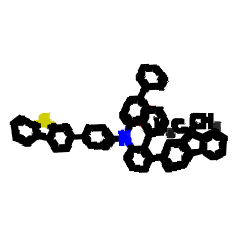 CC1(C)c2ccccc2-c2ccc(-c3cccc(N(c4ccc(-c5ccccc5)cc4)c4ccc(-c5ccc6c(c5)sc5ccccc56)cc4)c3-c3ccccc3)cc21